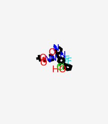 CN1CCc2nc3c(F)c(-c4c(O)cccc4F)c(Cl)cc3c(N3CCN(C(=O)OC(C)(C)C)CC3)c2C1=O